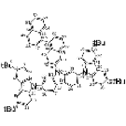 CC(C)(C)c1ccc2c(c1)c1cc(C(C)(C)C)ccc1n2-c1ccc2c3ccc(-n4c5ccc(C(C)(C)C)cc5c5cc(C(C)(C)C)ccc54)cc3n(-c3ccc4c(-c5cccc6ccccc56)cccc4c3)c2c1